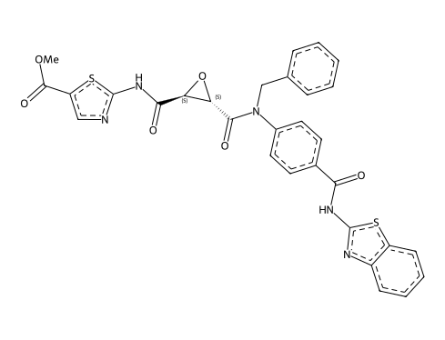 COC(=O)c1cnc(NC(=O)[C@H]2O[C@@H]2C(=O)N(Cc2ccccc2)c2ccc(C(=O)Nc3nc4ccccc4s3)cc2)s1